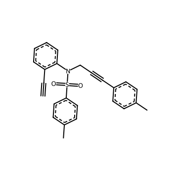 C#Cc1ccccc1N(CC#Cc1ccc(C)cc1)S(=O)(=O)c1ccc(C)cc1